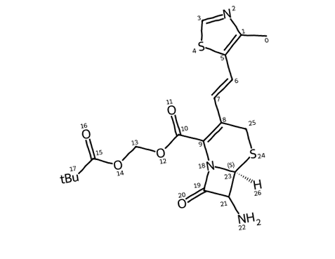 Cc1ncsc1C=CC1=C(C(=O)OCOC(=O)C(C)(C)C)N2C(=O)C(N)[C@@H]2SC1